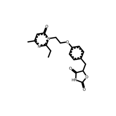 CCc1nc(C)cc(=O)n1CCOc1ccc(CC2OC(=O)NC2=O)cc1